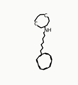 c1ccccccc(CCCCCCCNC2CCCCCCCCCCC2)cccccc1